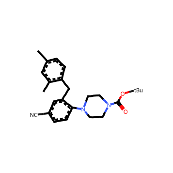 Cc1ccc(Cc2cc(C#N)ccc2N2CCN(C(=O)OC(C)(C)C)CC2)c(C)c1